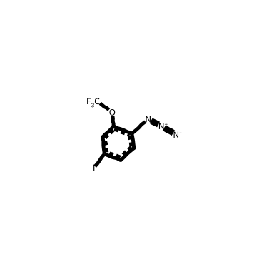 [N-]=[N+]=Nc1ccc(I)cc1OC(F)(F)F